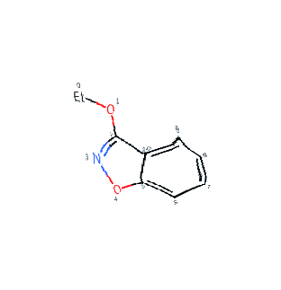 CCOc1noc2ccccc12